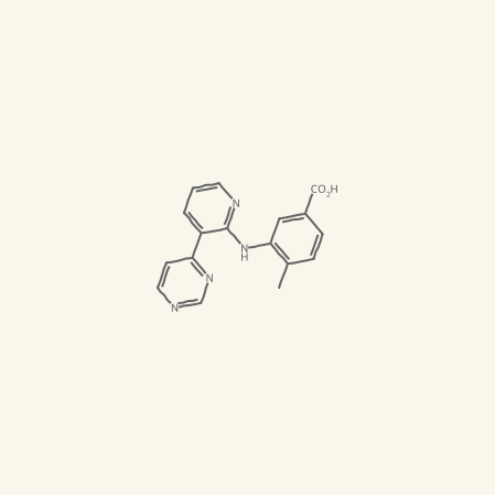 Cc1ccc(C(=O)O)cc1Nc1ncccc1-c1ccncn1